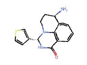 N[C@@H]1CCN2c3c(cccc31)C(=O)N[C@@H]2c1ccsc1